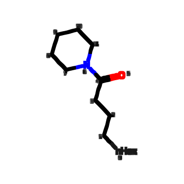 [CH2]CCCCCCCCC(=O)N1CCCCC1